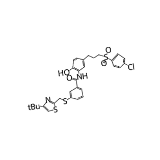 CC(C)(C)c1csc(CSc2cccc(C(=O)Nc3cc(CCCS(=O)(=O)c4ccc(Cl)cc4)ccc3O)c2)n1